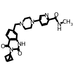 CNC(=O)c1ccc(N2CCN(Cc3ccc4c(=O)n(C56CC(C5)C6)c(=O)[nH]c4c3)CC2)cn1